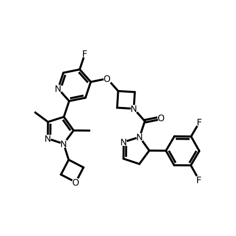 Cc1nn(C2COC2)c(C)c1-c1cc(OC2CN(C(=O)N3N=CCC3c3cc(F)cc(F)c3)C2)c(F)cn1